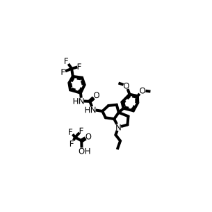 CCCN1CCC2(c3ccc(OC)c(OC)c3)CCC(NC(=O)Nc3ccc(C(F)(F)F)cc3)CC12.O=C(O)C(F)(F)F